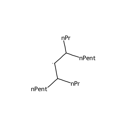 CCCCCC([CH]C(CCC)CCCCC)CCC